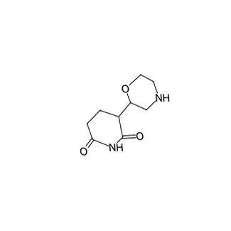 O=C1CCC(C2CNCCO2)C(=O)N1